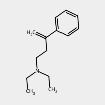 C=C(CCN(CC)CC)c1ccccc1